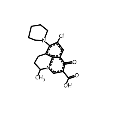 CC1CCc2c(N3CCCCC3)c(Cl)cc3c(=O)c(C(=O)O)cn1c23